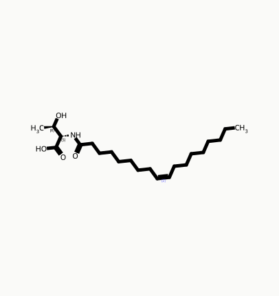 CCCCCCCC/C=C\CCCCCCCC(=O)N[C@H](C(=O)O)[C@@H](C)O